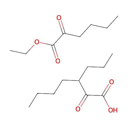 CCCCC(=O)C(=O)OCC.CCCCC(CCC)C(=O)C(=O)O